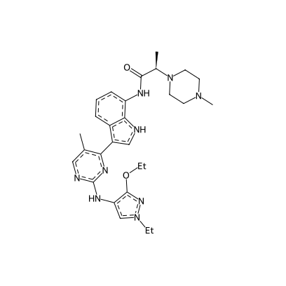 CCOc1nn(CC)cc1Nc1ncc(C)c(-c2c[nH]c3c(NC(=O)[C@@H](C)N4CCN(C)CC4)cccc23)n1